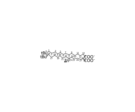 CC(C)(C)CCCCCCCCCCCCCC(=O)[O-].CC(C)(C)CCCCCCCCCCCCCC(=O)[O-].[Zn+2]